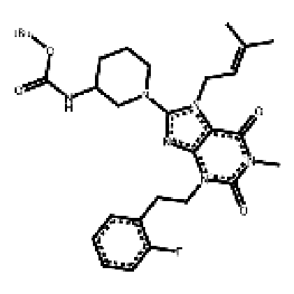 CC(C)=CCn1c(N2CCCC(NC(=O)OC(C)(C)C)C2)nc2c1c(=O)n(C)c(=O)n2CCc1ccccc1F